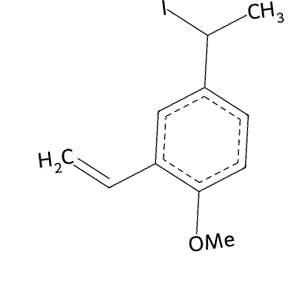 C=Cc1cc(C(C)I)ccc1OC